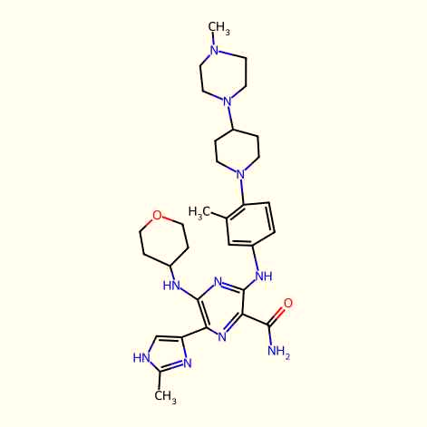 Cc1nc(-c2nc(C(N)=O)c(Nc3ccc(N4CCC(N5CCN(C)CC5)CC4)c(C)c3)nc2NC2CCOCC2)c[nH]1